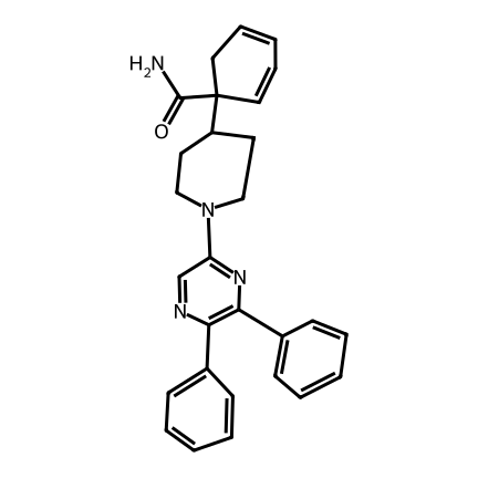 NC(=O)C1(C2CCN(c3cnc(-c4ccccc4)c(-c4ccccc4)n3)CC2)C=CC=CC1